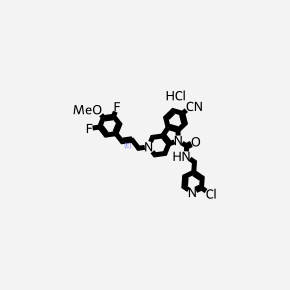 COc1c(F)cc(/C=C/CN2CCc3c(c4ccc(C#N)cc4n3C(=O)NCc3ccnc(Cl)c3)C2)cc1F.Cl